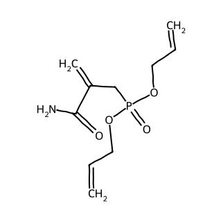 C=CCOP(=O)(CC(=C)C(N)=O)OCC=C